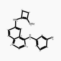 CNC1=C(Nc2ccc3ncnc(Nc4cccc(Br)c4)c3c2)CC1